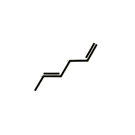 C=C[CH]/C=[C]/C